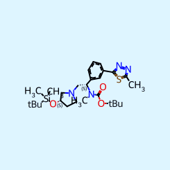 Cc1nnc(-c2cccc([C@@H](CN3CC[C@H](O[Si](C)(C)C(C)(C)C)C3)N(C)C(=O)OC(C)(C)C)c2)s1